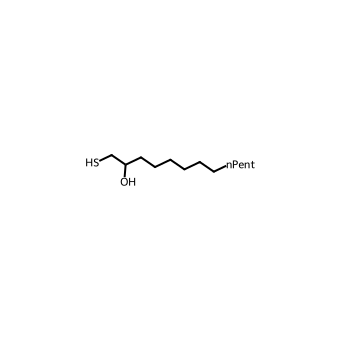 CCCCCCCCCCCC(O)CS